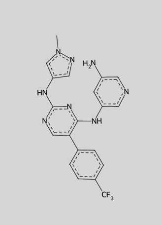 Cn1cc(Nc2ncc(-c3ccc(C(F)(F)F)cc3)c(Nc3cncc(N)c3)n2)cn1